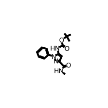 CNC(=O)c1cc(NC(=O)OC(C)(C)C)n(-c2ccccc2)n1